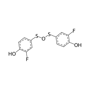 Oc1ccc(SOSc2ccc(O)c(F)c2)cc1F